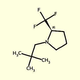 CC(C)(C)CN1CCC[C@@H]1C(F)(F)F